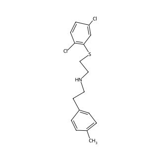 Cc1ccc(CCNCCSc2cc(Cl)ccc2Cl)cc1